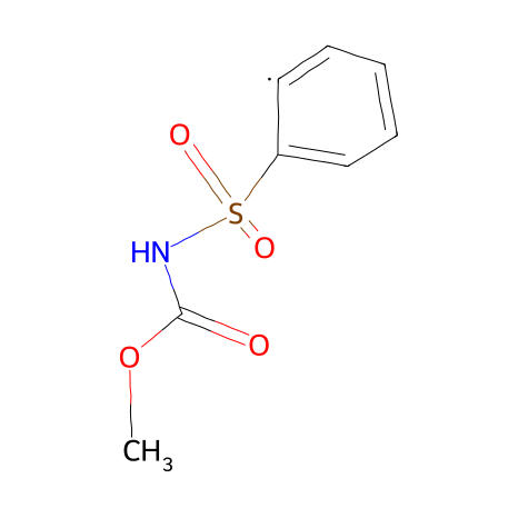 COC(=O)NS(=O)(=O)c1[c]cccc1